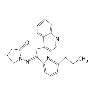 CCCc1cccc(/C(Cc2ccnc3ccccc23)=N/N2CCCC2=O)n1